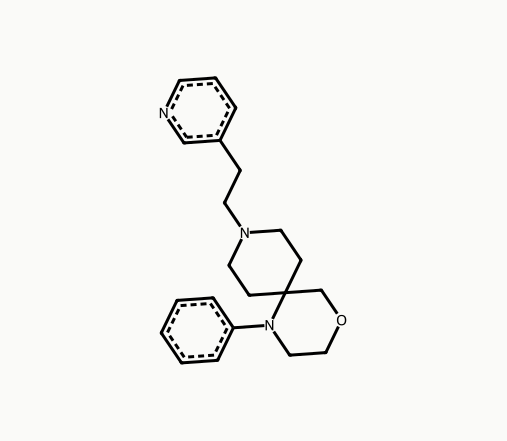 c1ccc(N2CCOCC23CCN(CCc2cccnc2)CC3)cc1